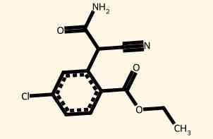 CCOC(=O)c1ccc(Cl)cc1C(C#N)C(N)=O